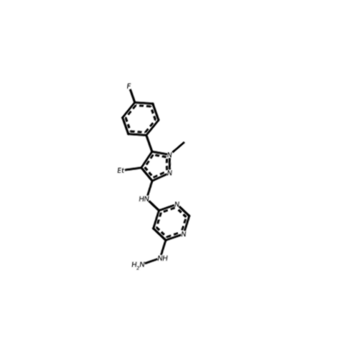 CCc1c(Nc2cc(NN)ncn2)nn(C)c1-c1ccc(F)cc1